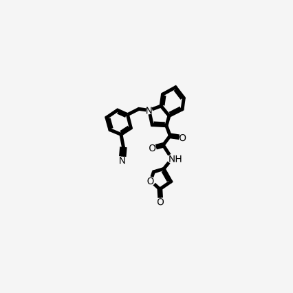 N#Cc1cccc(Cn2cc(C(=O)C(=O)NC3=CC(=O)OC3)c3ccccc32)c1